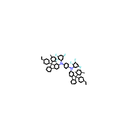 C=Cc1ccc(C2(c3cc(C)ccc3C)c3ccccc3-c3ccc(N(c4ccc(N(c5ccc6c(c5)C(c5ccc(C=C)cc5)(c5cc(C)ccc5C)c5ccccc5-6)c5cc(F)cc(F)c5F)cc4)c4cc(F)cc(F)c4F)cc32)cc1